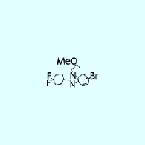 CO[C@@H](C)Cn1c(C2CCC(F)(F)CC2)nc2ccc(Br)cc21